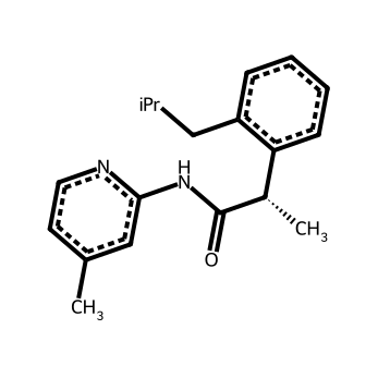 Cc1ccnc(NC(=O)[C@@H](C)c2ccccc2CC(C)C)c1